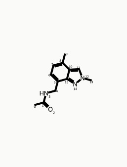 CC(=O)NCc1ccc(C)c2cn(C)nc12